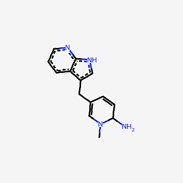 CN1C=C(Cc2c[nH]c3ncccc23)C=CC1N